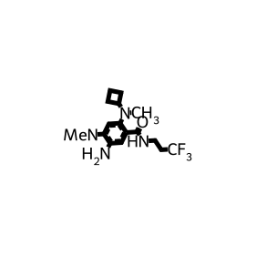 CNc1cc(N(C)C2CCC2)c(C(=O)NCCC(F)(F)F)cc1N